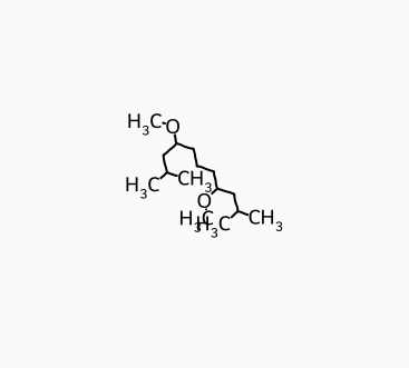 COC(CCCC(CC(C)C)OC)CC(C)C